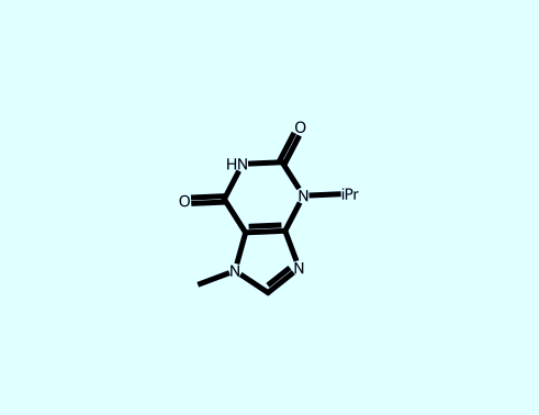 CC(C)n1c(=O)[nH]c(=O)c2c1ncn2C